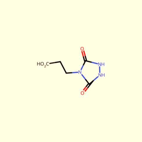 O=C(O)CCn1c(=O)[nH][nH]c1=O